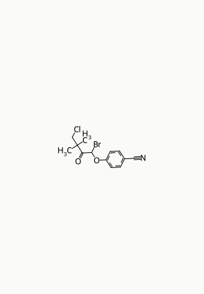 CC(C)(CCl)C(=O)C(Br)Oc1ccc(C#N)cc1